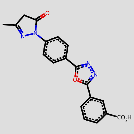 CC1=NN(c2ccc(-c3nnc(-c4cccc(C(=O)O)c4)o3)cc2)C(=O)C1